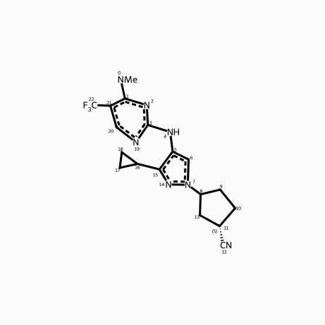 CNc1nc(Nc2cn(C3CC[C@H](C#N)C3)nc2C2CC2)ncc1C(F)(F)F